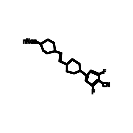 CCCCCCCCCC1CCC(C=CC2CCC(c3cc(F)c(C#N)c(F)c3)CC2)CC1